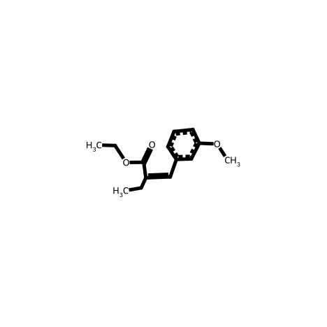 CCOC(=O)C(=Cc1cccc(OC)c1)CC